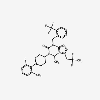 Cc1cccc(F)c1N1CCC(N2C(=O)N(Cc3ccccc3C(F)(F)F)c3cnn(CC(C)(F)F)c3C2C)CC1